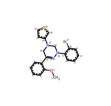 COc1ccccc1C1=NN(c2ccccc2Br)CN(c2ccsc2)C1